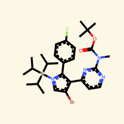 CC(C)[Si](C(C)C)(C(C)C)n1cc(Br)c(-c2ccnc(N(C)C(=O)OC(C)(C)C)n2)c1-c1ccc(F)cc1